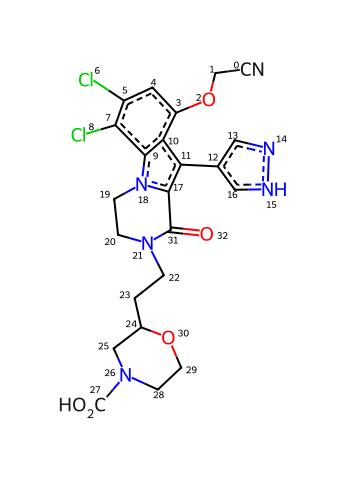 N#CCOc1cc(Cl)c(Cl)c2c1c(-c1cn[nH]c1)c1n2CCN(CCC2CN(C(=O)O)CCO2)C1=O